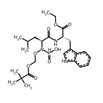 CCOC(=O)[C@H](Cc1c[nH]c2ccccc12)NC(=O)[C@H](CC(C)C)N(OCOC(=O)C(C)(C)C)[PH](=O)O